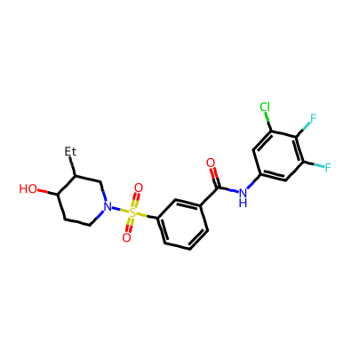 CCC1CN(S(=O)(=O)c2cccc(C(=O)Nc3cc(F)c(F)c(Cl)c3)c2)CCC1O